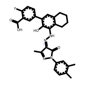 CC1=NN(c2ccc(C)c(C)c2)C(=O)/C1=N\Nc1c(O)c(-c2ccc(F)c(C(=O)O)c2)cc2c1CCCC2